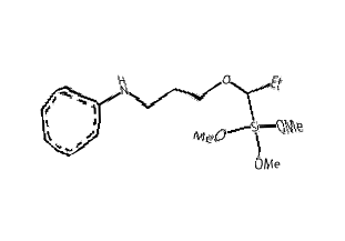 CCC(OCCCNc1ccccc1)[Si](OC)(OC)OC